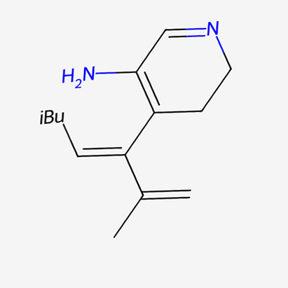 C=C(C)/C(=C/C(C)CC)C1=C(N)C=NCC1